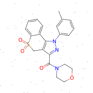 Cc1cccc(-n2nc(C(=O)N3CCOCC3)c3c2-c2ccccc2S(=O)(=O)C3)c1